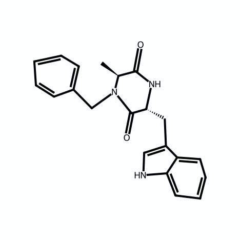 C[C@H]1C(=O)N[C@H](Cc2c[nH]c3ccccc23)C(=O)N1Cc1ccccc1